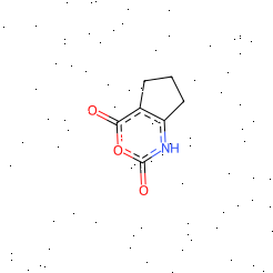 O=c1[nH]c2c(c(=O)o1)CCC2